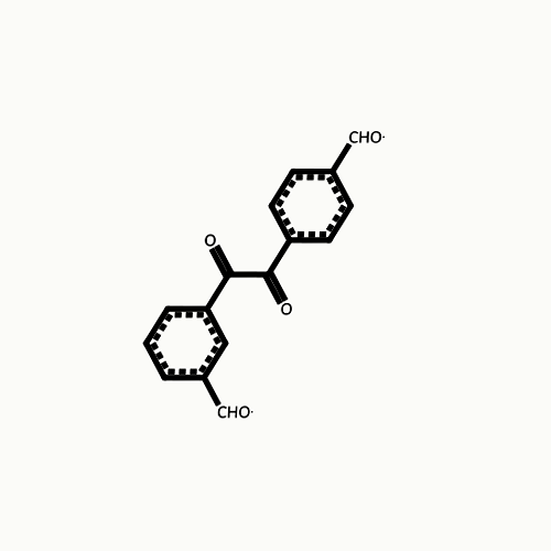 O=[C]c1ccc(C(=O)C(=O)c2cccc([C]=O)c2)cc1